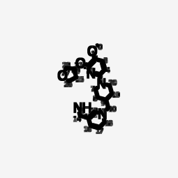 COc1ccc(N2CCC(CN3C=C(CN)C=CC3)CC2)nc1O[C@@H]1CCOC1